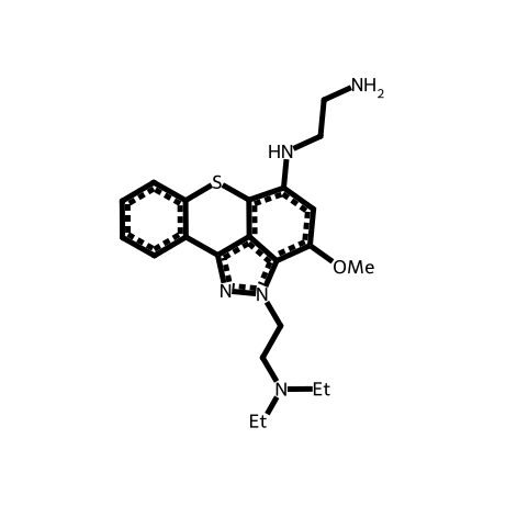 CCN(CC)CCn1nc2c3c(c(NCCN)cc(OC)c31)Sc1ccccc1-2